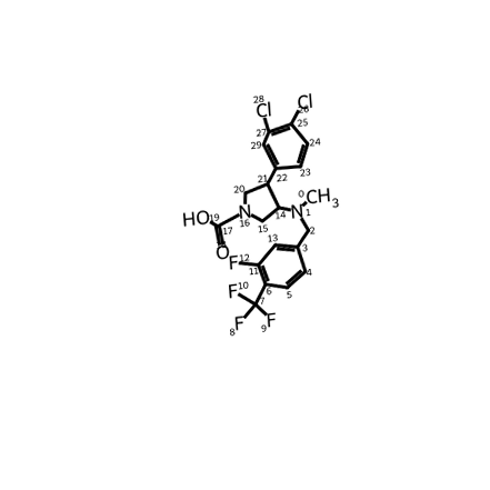 CN(Cc1ccc(C(F)(F)F)c(F)c1)C1CN(C(=O)O)CC1c1ccc(Cl)c(Cl)c1